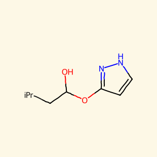 CC(C)CC(O)Oc1cc[nH]n1